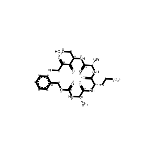 CC(C)[C@H](NC(=O)[C@H](CCC(=O)O)NC(=O)[C@H](C)NC(=O)OCc1ccccc1)C(=O)NC(CC(=O)O)C(=O)C(=O)CF